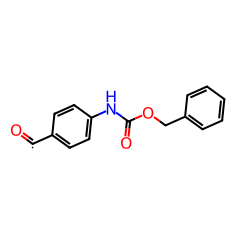 O=[C]c1ccc(NC(=O)OCc2ccccc2)cc1